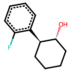 O[C@@H]1CCCC[C@H]1c1ccccc1F